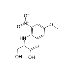 COc1ccc(NC(CO)C(=O)O)c([N+](=O)[O-])c1